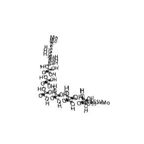 O=P(O)(O)O.O=P(O)(O)O.O=P(O)(O)O.O=P(O)(O)O.O=P(O)(O)O.O=P(O)(O)O.S.S.S.S.S.S.[Mo].[Mo].[Mo].[NaH].[NaH].[NaH].[V].[V]